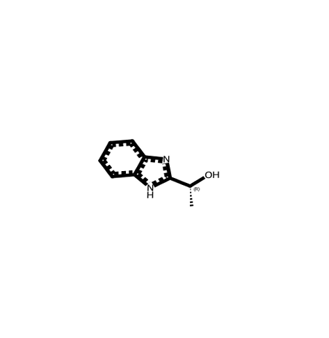 C[C@@H](O)c1nc2ccccc2[nH]1